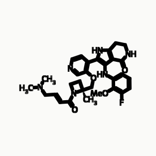 COc1c(F)cccc1Nc1c(-c2ccncc2OC[C@]2(C)CCN2C(=O)/C=C/CN(C)C)[nH]c2c1C(=O)NCC2